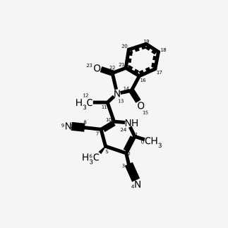 CC1=C(C#N)[C@@H](C)C(C#N)=C(C(C)N2C(=O)c3ccccc3C2=O)N1